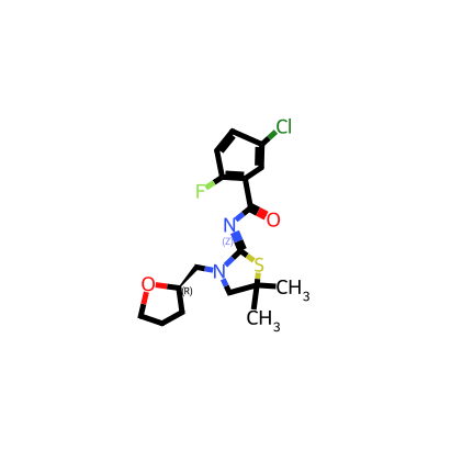 CC1(C)CN(C[C@H]2CCCO2)/C(=N/C(=O)c2cc(Cl)ccc2F)S1